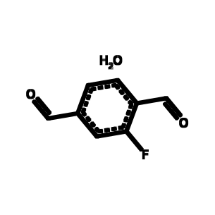 O.O=Cc1ccc(C=O)c(F)c1